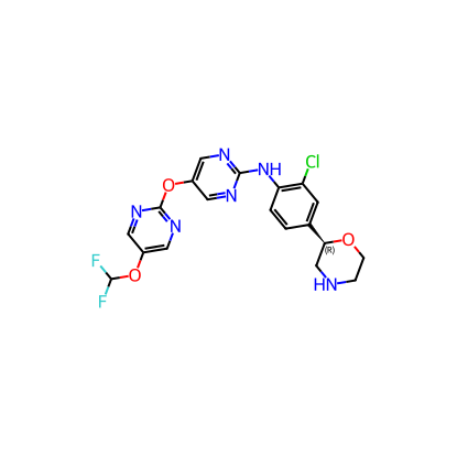 FC(F)Oc1cnc(Oc2cnc(Nc3ccc([C@@H]4CNCCO4)cc3Cl)nc2)nc1